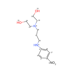 O=[N+]([O-])c1ccc(NCCCN(CCO)CCO)cc1